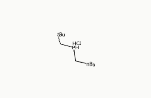 CCCCCPCC(C)(C)C.Cl